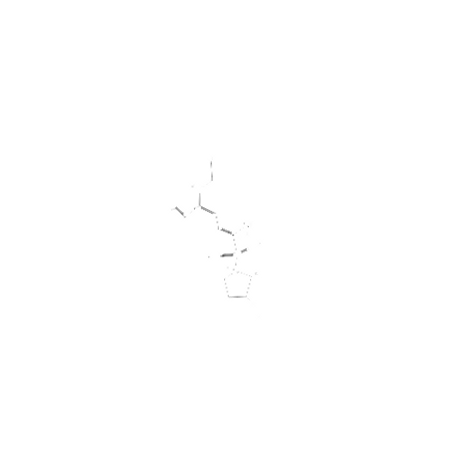 C=C/C(=C\C=C(/N)S(=O)(=O)N1CCC(S)C1)OCC